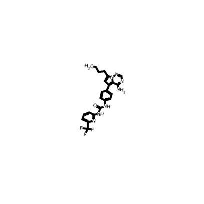 [CH2]CCCc1cc(-c2ccc(NC(=O)Nc3cccc(C(F)(F)F)n3)cc2)c2c(N)ncnn12